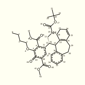 CCCCOc1c(C(=O)OC)n([C@H](CNC(=O)OC(C)(C)C)C2C3=C(C=CCC3)CCc3ccccc32)cc(C(=O)OC)c1=O